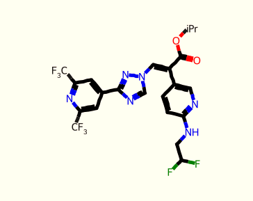 CC(C)OC(=O)/C(=C/n1cnc(-c2cc(C(F)(F)F)nc(C(F)(F)F)c2)n1)c1ccc(NCC(F)F)nc1